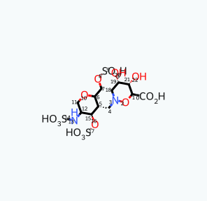 O=C(O)C1ON(C[C@H]2C(COS(=O)(=O)O)OCC(NS(=O)(=O)O)[C@@H]2OS(=O)(=O)O)C[C@H](O)[C@@H]1O